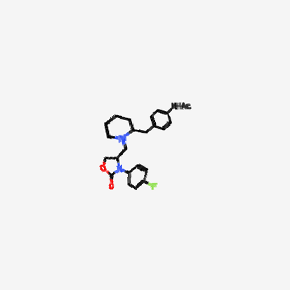 CC(=O)Nc1ccc(CC2CCCCN2CC2COC(=O)N2c2ccc(F)cc2)cc1